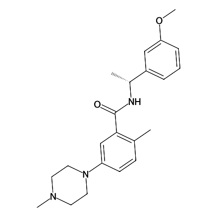 COc1cccc([C@@H](C)NC(=O)c2cc(N3CCN(C)CC3)ccc2C)c1